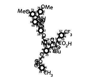 COc1ccc(C(NS(=O)(=O)c2nc3ccc(OCc4cn(C(Cc5ccc(OCCOS(=O)(=O)c6ccc(C)cc6)cc5)C(=O)N(C(=O)OC(C)(C)C)C(Cc5ccc(C(F)(F)F)cc5)C(=O)O)nn4)cc3s2)(c2ccccc2)c2ccc(OC)cc2)cc1